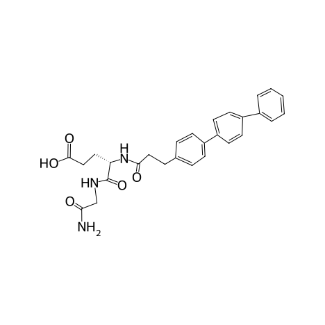 NC(=O)CNC(=O)[C@H](CCC(=O)O)NC(=O)CCc1ccc(-c2ccc(-c3ccccc3)cc2)cc1